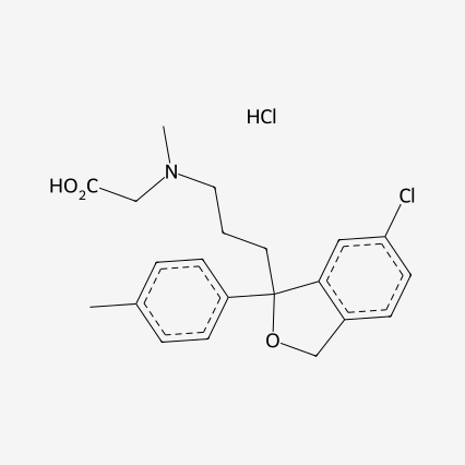 Cc1ccc(C2(CCCN(C)CC(=O)O)OCc3ccc(Cl)cc32)cc1.Cl